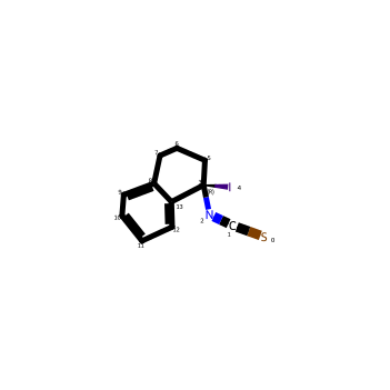 S=C=N[C@@]1(I)CCCc2ccccc21